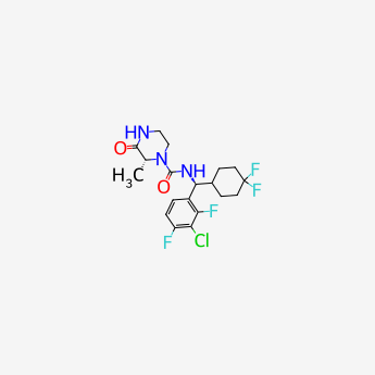 C[C@@H]1C(=O)NCCN1C(=O)N[C@H](c1ccc(F)c(Cl)c1F)C1CCC(F)(F)CC1